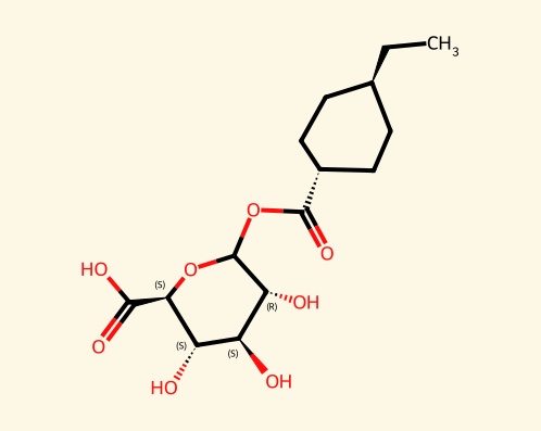 CC[C@H]1CC[C@H](C(=O)OC2O[C@H](C(=O)O)[C@@H](O)[C@H](O)[C@H]2O)CC1